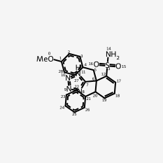 COc1ccc(CC2(c3nnn[nH]3)C(S(N)(=O)=O)=CC=CC2c2ccccc2)cc1